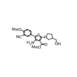 COC(=O)c1c(N2CCC(CO)C2)sc(-c2ccc(OC)c(C#N)c2)c1N